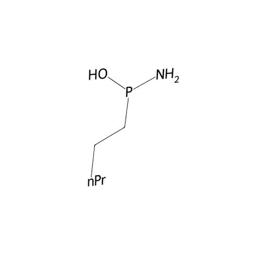 CCCCCP(N)O